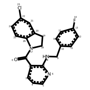 O=C(c1cccnc1NCc1ccc(F)cc1)N1CCc2cc(Cl)ccc21